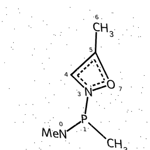 CNP(C)n1cc(C)o1